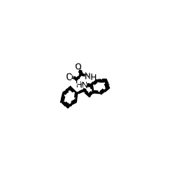 NC(=O)C=O.c1ccc(-c2cc3ccccc3[nH]2)cc1